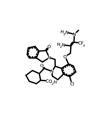 CN(N)/C(=C(\N)COc1ccc(Cl)c2c1C(CN1Cc3ccccc3C1=O)N(C(=O)C1CCCCC1C(=O)O)CC2)C(F)(F)F